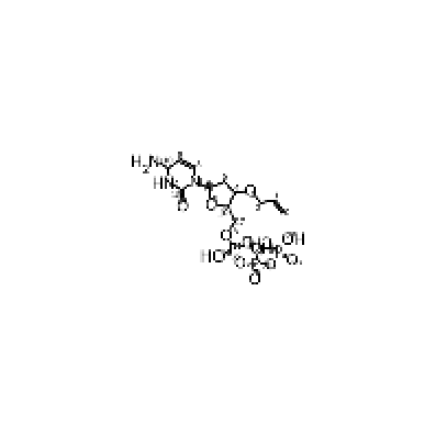 C=CCOC1C[C@H](N2C=CC(N)NC2=O)O[C@@H]1COP(=O)(O)OP(=O)(O)OP(=O)(O)O